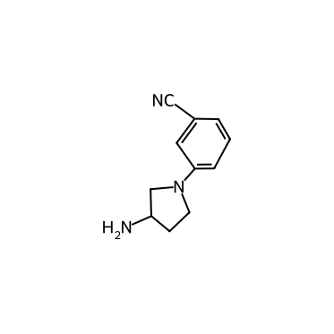 N#Cc1cccc(N2CCC(N)C2)c1